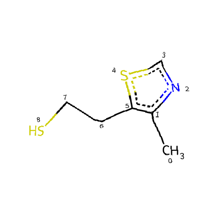 Cc1ncsc1CCS